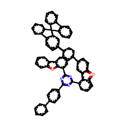 c1ccc(-c2ccc(-c3nc(-c4cccc5c4oc4ccccc45)nc(-c4cccc5oc6ccc(-c7ccc(-c8ccc9c(c8)C8(c%10ccccc%10-c%10ccccc%108)c8ccccc8-9)cc7)cc6c45)n3)cc2)cc1